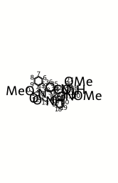 COC(=O)[C@H](c1ccccc1)N1C(=O)CN[C@](c2ccccc2)([C@H](Oc2nc(OC)cc(OC)n2)C(=O)O)c2ccccc21